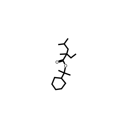 CCC(C)(CC(C)C)C(=O)OC(C)(C)C1CCCCC1